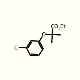 CCOC(=O)C(C)(C)Oc1cccc(Cl)c1